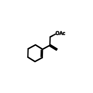 C=C(COC(C)=O)C1=CCCCC1